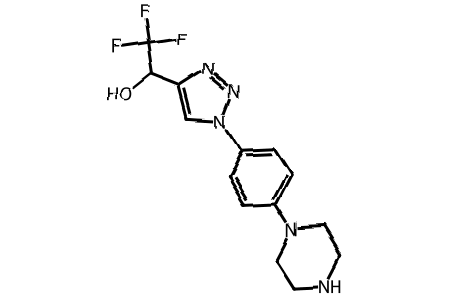 OC(c1cn(-c2ccc(N3CCNCC3)cc2)nn1)C(F)(F)F